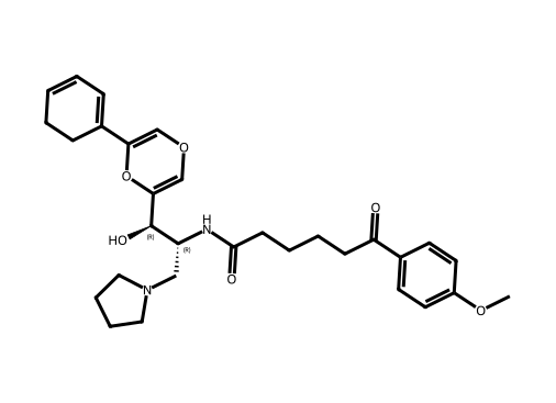 COc1ccc(C(=O)CCCCC(=O)N[C@H](CN2CCCC2)[C@@H](O)C2=COC=C(C3=CC=CCC3)O2)cc1